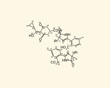 Cc1ccc(C(=O)O)c(C2=NC(C)(C(C)C)C(=O)N2)c1.Cc1ccc(C2=NC(C)(C(C)C)C(=O)N2)c(C(=O)O)c1.O=C1CC(C(=O)O)CC(=O)C1=C(O)C1CC1